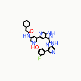 O=C(CC1CCCCC1)Nc1cncc(-c2cc3c(-c4nc5c(-c6cc(O)cc(F)c6)cncc5[nH]4)n[nH]c3cn2)c1